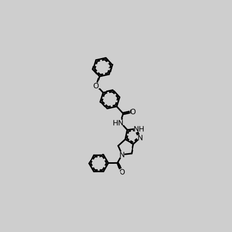 O=C(Nc1[nH]nc2c1CN(C(=O)c1ccccc1)C2)c1ccc(Oc2ccccc2)cc1